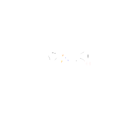 Cc1ccc(S(=O)(=O)N2CCC(c3ccccc3)(C(C)O)CC2)cc1